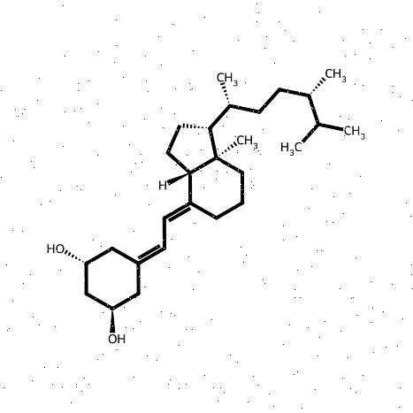 CC(C)[C@@H](C)CC[C@@H](C)[C@H]1CC[C@H]2/C(=C/C=C3C[C@@H](O)C[C@H](O)C3)CCC[C@]12C